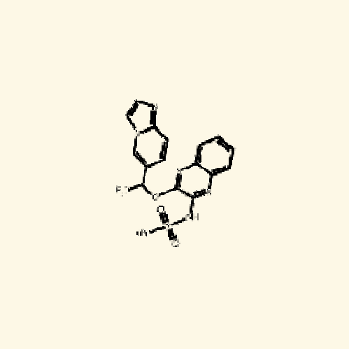 CCCS(=O)(=O)Nc1nc2ccccc2nc1OC(c1ccc2nccn2c1)C(F)(F)F